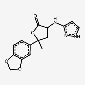 CC1(c2ccc3c(c2)OCO3)CC(Nc2cc[nH]n2)C(=O)O1